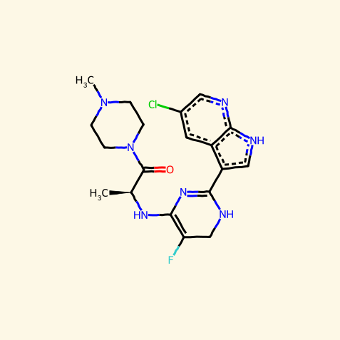 C[C@H](NC1=C(F)CNC(c2c[nH]c3ncc(Cl)cc23)=N1)C(=O)N1CCN(C)CC1